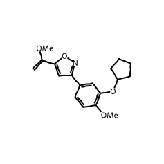 C=C(OC)c1cc(-c2ccc(OC)c(OC3CCCC3)c2)no1